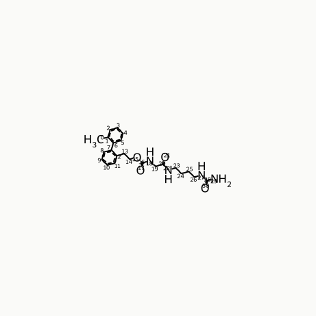 Cc1ccccc1-c1ccccc1CCOC(=O)NCC(=O)NCCCCNC(N)=O